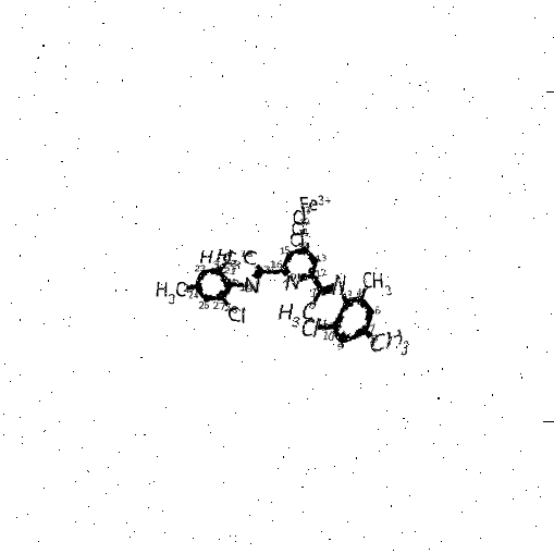 CC(=Nc1c(C)cc(C)cc1Cl)c1cccc(C(C)=Nc2c(C)cc(C)cc2Cl)n1.[Cl-].[Cl-].[Cl-].[Fe+3]